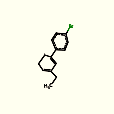 CCC1=CC[CH]C(c2ccc(Br)cc2)=C1